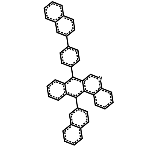 c1ccc2cc(-c3ccc(-c4c5ccccc5c(-c5ccc6ccccc6c5)c5c4cnc4ccccc45)cc3)ccc2c1